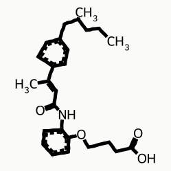 CCCC(C)Cc1ccc(C(C)=CC(=O)Nc2ccccc2OCCCC(=O)O)cc1